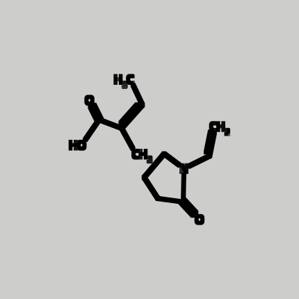 C=CN1CCCC1=O.CC=C(C)C(=O)O